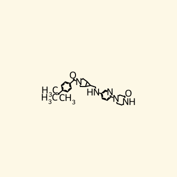 CC(C)(C)c1ccc(C(=O)N2CC3C(CNc4ccc(N5CCNC(=O)C5)nc4)C3C2)cc1